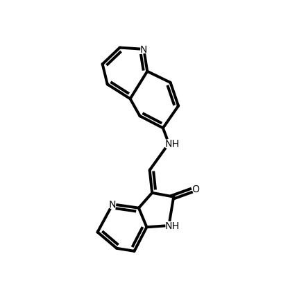 O=C1Nc2cccnc2C1=CNc1ccc2ncccc2c1